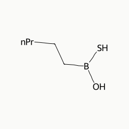 CCCCCB(O)S